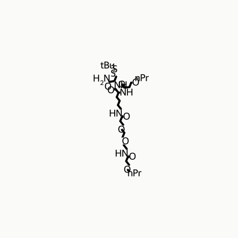 CCCOCCC(=O)NCCOCCOCCC(=O)NCCCCC(NC(=O)CCOCCC)C(=O)NC(CSSC(C)(C)C)C(N)=O